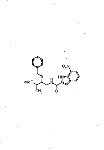 COC(C)C(CNC(=O)c1cc2cccc([N+](=O)[O-])c2[nH]1)SCc1ccccc1